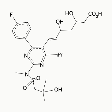 CC(C)c1nc(N(C)S(=O)(=O)CC(C)(C)O)nc(-c2ccc(F)cc2)c1/C=C/C(O)CC(O)CC(=O)O